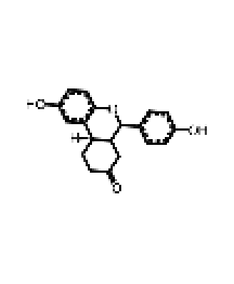 O=C1CC[C@@H]2c3cc(O)ccc3OC(c3ccc(O)cc3)C2C1